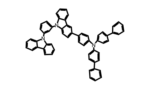 c1ccc(-c2ccc(N(c3ccc(-c4ccccc4)cc3)c3ccc(-c4ccc5c(c4)c4ccccc4n5-c4cccc(-n5c6ccccc6c6ccccc65)c4)cc3)cc2)cc1